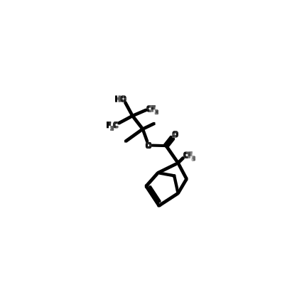 CC(C)(OC(=O)C1(C(F)(F)F)CC2C=CC1C2)C(O)(C(F)(F)F)C(F)(F)F